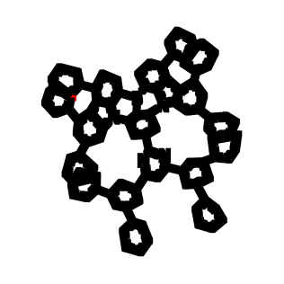 c1ccc(-c2cc(-c3ccccc3)cc(-c3cc(-c4cc(-c5ccccc5)cc(-c5ccccc5)c4)nc(-c4cc5c6c(c4)-n4c7cc(-c8ccccc8)cc(-c8ccccc8)c7c7c(-c8ccccc8)ccc(c74)B6c4ccc(-c6ccccc6)c6c7c(-c8ccccc8)cc(-c8ccccc8)cc7n-5c46)n3)c2)cc1